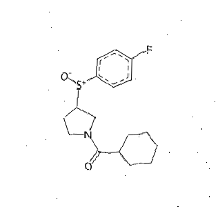 O=C(C1CCCCC1)N1CCC([S+]([O-])c2ccc(F)cc2)C1